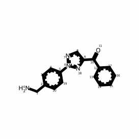 NCc1ccc(-n2ncc(C(=O)c3ccccc3)n2)cc1